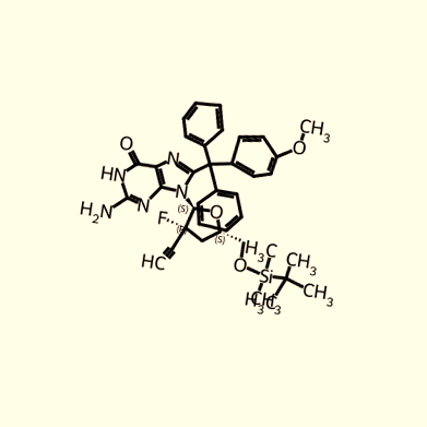 C#C[C@]1(F)C[C@@H](CO[Si](C)(C)C(C)(C)C)O[C@@H]1n1c(C(c2ccccc2)(c2ccccc2)c2ccc(OC)cc2)nc2c(=O)[nH]c(N)nc21